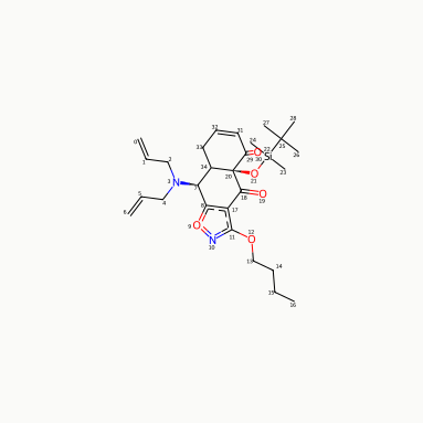 C=CCN(CC=C)[C@@H]1c2onc(OCCCC)c2C(=O)[C@@]2(O[Si](C)(C)C(C)(C)C)C(=O)C=CCC12